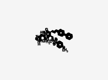 COc1ccc(S(=O)(=O)N(C)C[C@H]2C(=O)[N+](O)(C(CO)Cc3c[nH]cn3)C(=O)[C@@H]2CCCc2ccc(-c3ccccc3)cc2)cc1